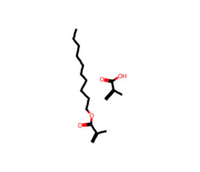 C=C(C)C(=O)O.C=C(C)C(=O)OCCCCCCCCCC